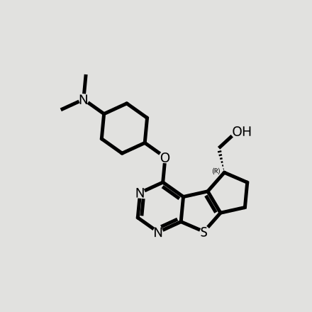 CN(C)C1CCC(Oc2ncnc3sc4c(c23)[C@H](CO)CC4)CC1